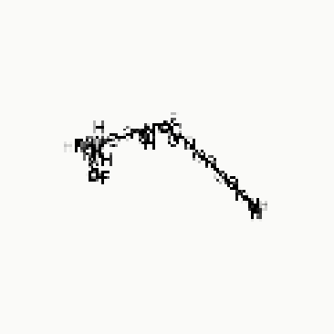 CCCCNc1nc(NCCOCCOCCC(=O)CNCc2ccc(OC(=O)CCOCCOCCOCCOCCOCCOCCN=[N+]=[N-])c(F)c2)nc(NCc2cccc(F)c2)n1